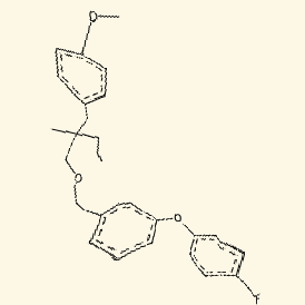 CCC(C)(COCc1cccc(Oc2ccc(F)cc2)c1)c1ccc(OC)cc1